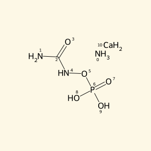 N.NC(=O)NOP(=O)(O)O.[CaH2]